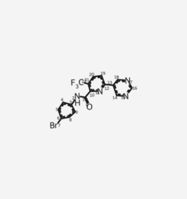 O=C(Nc1ccc(Br)cc1)c1nc(-c2cncnc2)ccc1C(F)(F)F